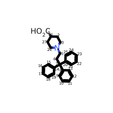 O=C(O)C1CCN(CCC(c2ccccc2)(c2ccccc2)c2ccccc2)CC1